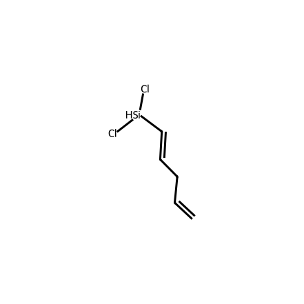 C=CCC=C[SiH](Cl)Cl